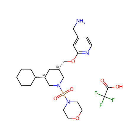 NCc1ccnc(OC[C@H]2C[C@@H](C3CCCCC3)CN(S(=O)(=O)N3CCOCC3)C2)c1.O=C(O)C(F)(F)F